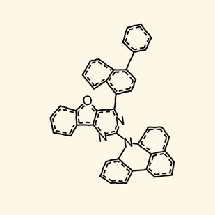 c1ccc(-c2ccc(-c3nc(N4c5ccccc5-c5cccc6cccc4c56)nc4c3oc3ccccc34)c3ccccc23)cc1